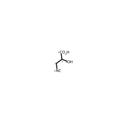 [C-]#[N+]CC(O)C(=O)O